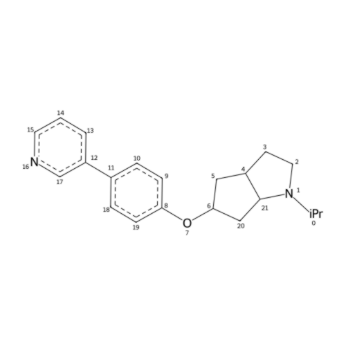 CC(C)N1CCC2CC(Oc3ccc(-c4cccnc4)cc3)CC21